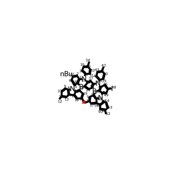 CCCCc1cc2c3c(c1)-n1c4ccc(C)cc4c4cc(C)cc(c41)B3c1cc3c(cc1N2c1ccc(C)cc1)N(c1ccc(C)cc1)c1cc(I)cc2c1B3c1cc(C)cc3c4cc(C)ccc4n-2c13